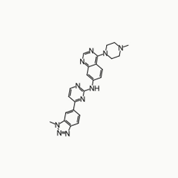 CN1CCN(c2ncnc3cc(Nc4nccc(-c5ccc6nnn(C)c6c5)n4)ccc23)CC1